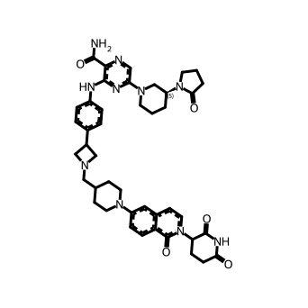 NC(=O)c1ncc(N2CCC[C@H](N3CCCC3=O)C2)nc1Nc1ccc(C2CN(CC3CCN(c4ccc5c(=O)n(C6CCC(=O)NC6=O)ccc5c4)CC3)C2)cc1